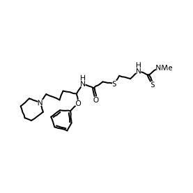 CNC(=S)NCCSCC(=O)NC(CCCN1CCCCC1)Oc1ccccc1